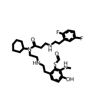 CNc1c(O)ccc(CCNCCN(C(=O)CCNCCc2cc(F)ccc2F)C2CCCCC2)c1SC=O